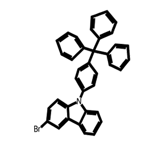 Brc1ccc2c(c1)c1ccccc1n2-c1ccc(C(c2ccccc2)(c2ccccc2)c2ccccc2)cc1